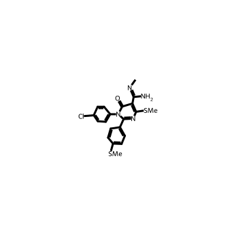 CN=C(N)c1c(SC)nc(-c2ccc(SC)cc2)n(-c2ccc(Cl)cc2)c1=O